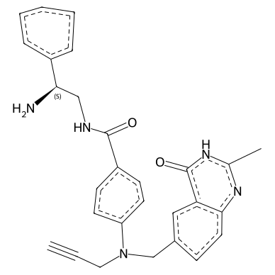 C#CCN(Cc1ccc2nc(C)[nH]c(=O)c2c1)c1ccc(C(=O)NC[C@@H](N)c2ccccc2)cc1